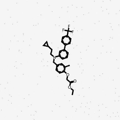 CCOC(=O)COc1ccc(CN(CCC2CC2)c2cccc(-c3ccc(C(F)(F)F)cc3)c2)cc1C